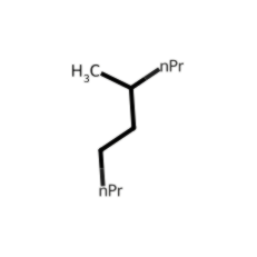 [CH2]CCC(C)CCCCC